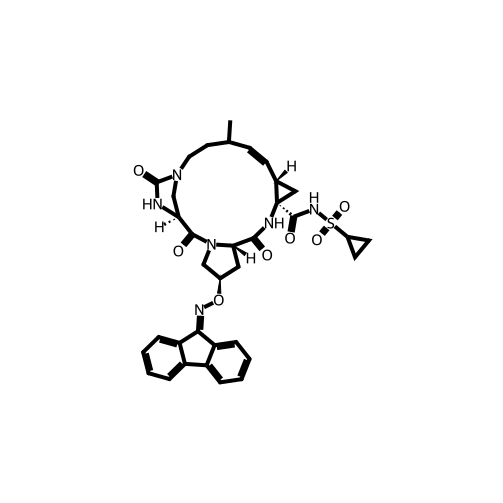 CC1/C=C\[C@@H]2C[C@@]2(C(=O)NS(=O)(=O)C2CC2)NC(=O)[C@@H]2C[C@@H](ON=C3c4ccccc4-c4ccccc43)CN2C(=O)[C@@H]2CN(CC1)C(=O)N2